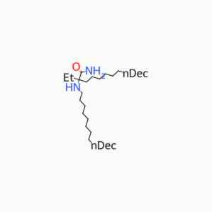 CCCCCCCCCCCCCCCCCCNC(CC)(CCCCCCCCCCCCCCCC)C(N)=O